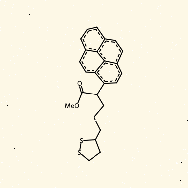 COC(=O)C(CCCC1CCSS1)c1ccc2ccc3cccc4ccc1c2c34